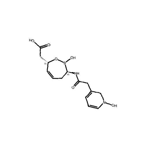 O=C(O)C[C@H]1C=CC[C@H](NC(=O)CC2=CC=CN(O)C2)B(O)O1